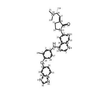 Cc1cc(Nc2ncnc3cnc(N4CC/C(=C\[C@@H](C)N(C)C)C4=O)cc23)ccc1Oc1ccn2ncnc2c1